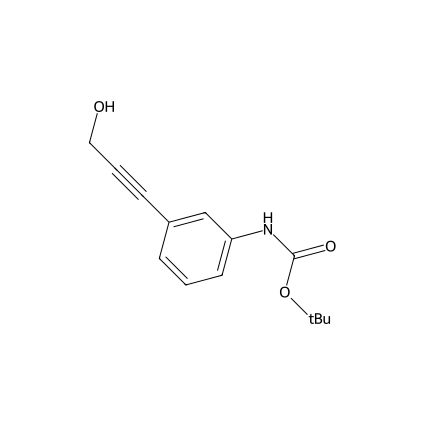 CC(C)(C)OC(=O)Nc1cccc(C#CCO)c1